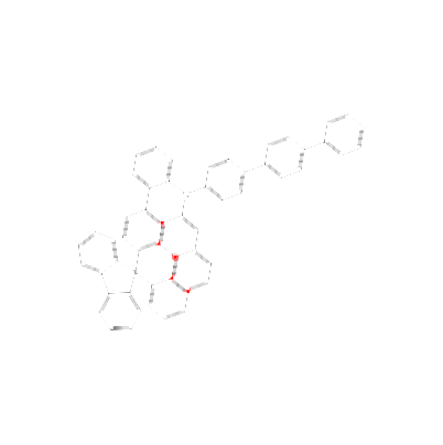 c1ccc(-c2ccc(-c3ccc(N(c4ccc5ccccc5c4)c4ccccc4-c4ccc5c(c4)Oc4ccccc4C54c5ccccc5-c5ccccc54)cc3)cc2)cc1